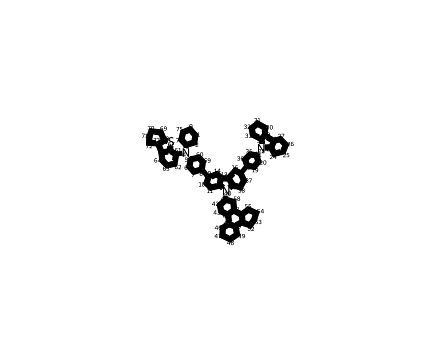 c1ccc(N(c2ccc(-c3ccc4c(c3)c3cc(-c5ccc(-n6c7ccccc7c7ccccc76)cc5)ccc3n4-c3ccc4c5ccccc5c5ccccc5c4c3)cc2)c2cccc3c2sc2ccccc23)cc1